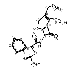 CNC(=O)SC(C(=O)N[C@H]1C(=O)N2C(C(=O)O)=C(COC(C)=O)CSC12)c1ccccc1